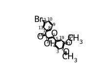 COc1ccc(-c2oc3ccc(Br)cc3c(=O)c2O)cc1OC